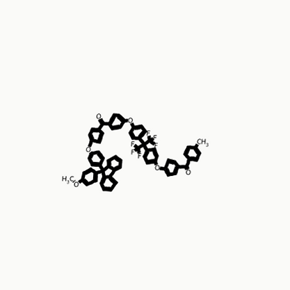 COc1ccc(C2(c3ccc(Oc4ccc(C(=O)c5ccc(Oc6ccc(C(c7ccc(Oc8ccc(C(=O)c9ccc(C)cc9)cc8)cc7)(C(F)(F)F)C(F)(F)F)cc6)cc5)cc4)cc3)c3ccccc3-c3ccccc32)cc1